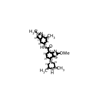 COc1nc2c(C(=O)Nc3cc(C)c4nn(C)cc4c3)ccc(N3C[C@H](C)N[C@@H](C)C3)c2s1